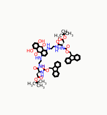 CC(C)(C)OC(=O)C[C@H](NC(=O)OCC1c2ccccc2-c2ccccc21)C(=O)NCCNc1ccc(NCCNC(=O)[C@H](CC(=O)OC(C)(C)C)NC(=O)OCC2c3ccccc3-c3ccccc32)c2c1C(=O)c1c(O)ccc(O)c1C2=O